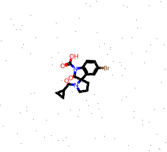 O=C(O)N1C(=O)C2(CCCN2C(=O)C2CC2)c2cc(Br)ccc21